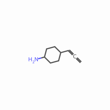 C=C=CC1CCC(N)CC1